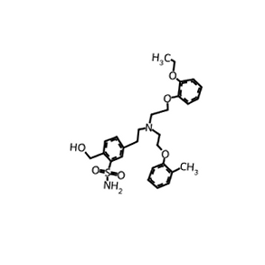 CCOc1ccccc1OCCN(CCOc1ccccc1C)CCc1ccc(CO)c(S(N)(=O)=O)c1